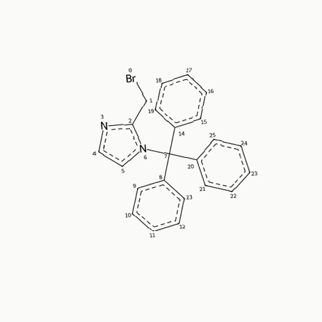 BrCc1nccn1C(c1ccccc1)(c1ccccc1)c1ccccc1